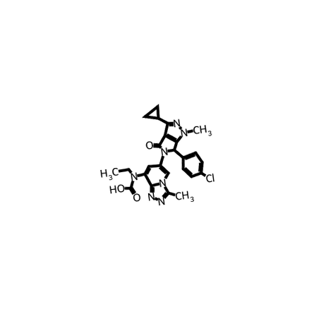 CCN(C(=O)O)c1cc(N2C(=O)c3c(C4CC4)nn(C)c3C2c2ccc(Cl)cc2)cn2c(C)nnc12